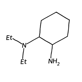 CCN(CC)C1CCCCC1N